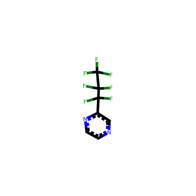 FC(F)(F)C(F)(F)C(F)(F)c1[c]nccn1